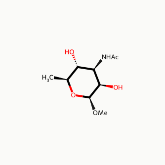 CO[C@H]1O[C@@H](C)[C@H](O)[C@@H](NC(C)=O)[C@H]1O